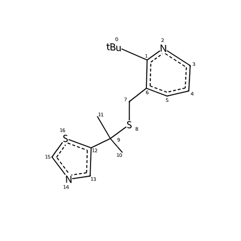 CC(C)(C)c1ncccc1CSC(C)(C)c1cncs1